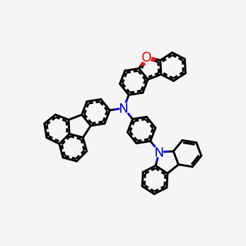 C1=CC2c3ccccc3N(c3ccc(N(c4ccc5c(c4)-c4cccc6cccc-5c46)c4ccc5oc6ccccc6c5c4)cc3)C2C=C1